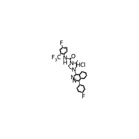 CC1CN(c2nnc(-c3ccc(F)cc3)c3ccccc23)CCN1C(=O)Nc1ccc(F)cc1C(F)(F)F.Cl